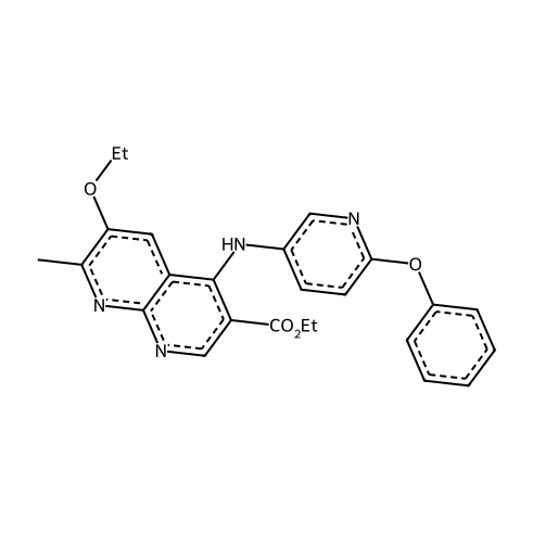 CCOC(=O)c1cnc2nc(C)c(OCC)cc2c1Nc1ccc(Oc2ccccc2)nc1